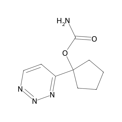 NC(=O)OC1(c2ccnnn2)CCCC1